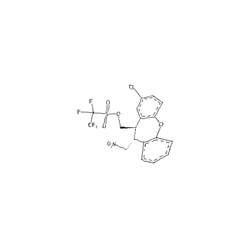 O=[N+]([O-])C[C@H]1c2ccccc2Oc2ccc(Cl)cc2[C@@H]1COS(=O)(=O)C(F)(F)C(F)(F)F